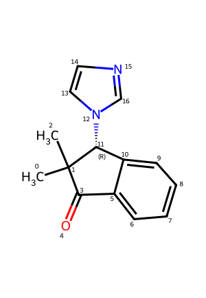 CC1(C)C(=O)c2ccccc2[C@H]1n1ccnc1